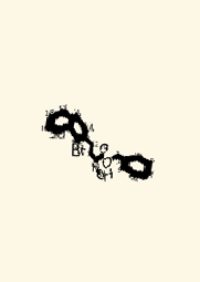 O=C(OCc1ccccc1)/C(CCc1ccc2ccccc2c1Br)=N\O